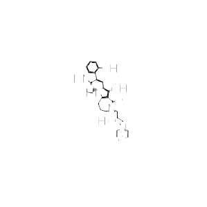 Cc1cccc2c1/C(=C/c1[nH]c3c(c1C)C(=O)N(C[C@H](O)CN1CCOCC1)CCC3)C(=O)N2